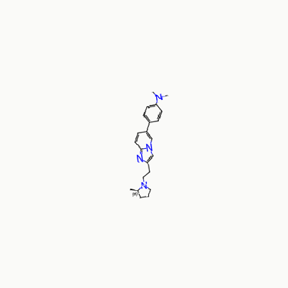 C[C@@H]1CCCN1CCc1cn2cc(-c3ccc(N(C)C)cc3)ccc2n1